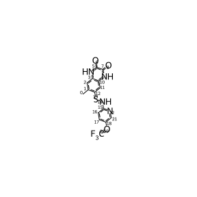 Cc1cc2[nH]c(=O)c(=O)[nH]c2cc1SNc1ccc(OC(F)(F)F)cn1